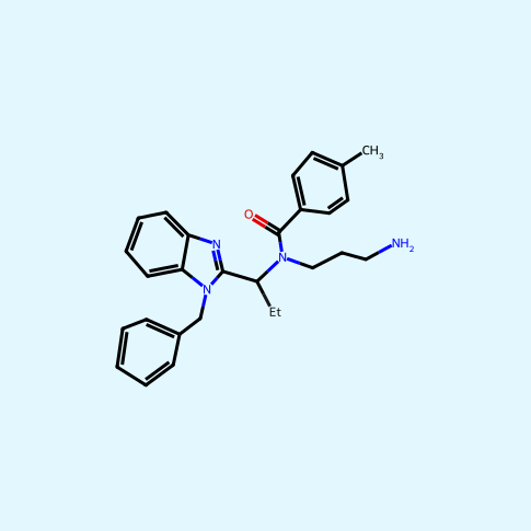 CCC(c1nc2ccccc2n1Cc1ccccc1)N(CCCN)C(=O)c1ccc(C)cc1